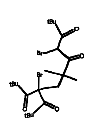 CC(C)(C)C(=O)C(Br)C(=O)C(C)(C)CC(Br)(C(=O)C(C)(C)C)C(=O)C(C)(C)C